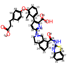 COC(=O)CCc1ccc(Oc2cccc(-c3ccc(N4CCc5cccc(C(=O)Nc6nc7ccccc7s6)c5C4)nc3C(=O)O)c2C)cc1